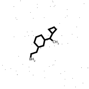 BCCC1CCCC(C(C)C2CCC2)C1